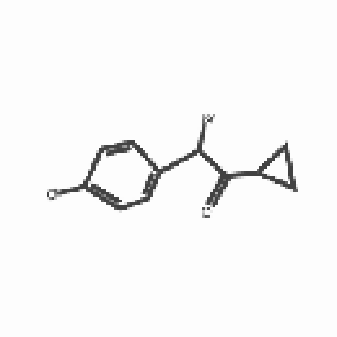 O=C(C1CC1)C(Br)c1ccc(Cl)cc1